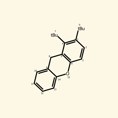 CC(C)(C)c1ccc2c(c1C(C)(C)C)Cc1ccccc1O2